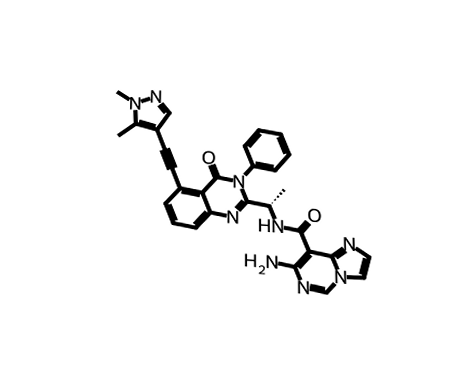 Cc1c(C#Cc2cccc3nc([C@H](C)NC(=O)c4c(N)ncn5ccnc45)n(-c4ccccc4)c(=O)c23)cnn1C